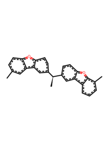 Cc1ccc2oc3ccc([C@H](C)c4ccc5oc6c(C)cccc6c5c4)cc3c2c1